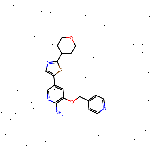 Nc1ncc(-c2cnc(C3CCOCC3)s2)cc1OCc1ccncc1